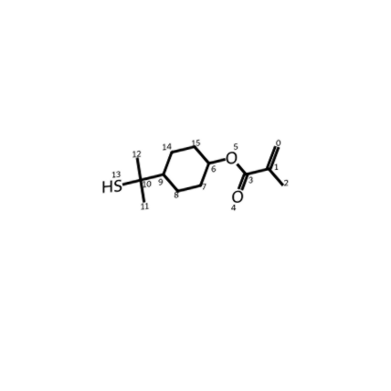 C=C(C)C(=O)OC1CCC(C(C)(C)S)CC1